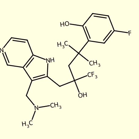 CN(C)Cc1c(CC(O)(CC(C)(C)c2cc(F)ccc2O)C(F)(F)F)[nH]c2ccncc12